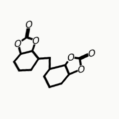 O=C1OC2CCCC(CC3CCCC4OC(=O)OC34)C2O1